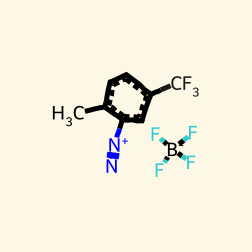 Cc1ccc(C(F)(F)F)cc1[N+]#N.F[B-](F)(F)F